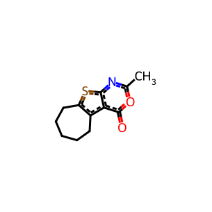 Cc1nc2sc3c(c2c(=O)o1)CCCCC3